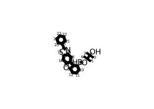 CC(C)(O)C(C)(C)OBc1cccc2oc3cc4sc(-c5ccccc5)nc4cc3c12